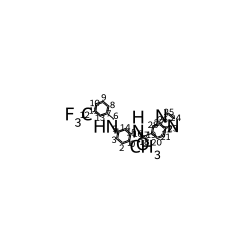 Cc1ccc(NCc2cccc(C(F)(F)F)c2)cc1NC(=O)c1ccc2nccnc2c1